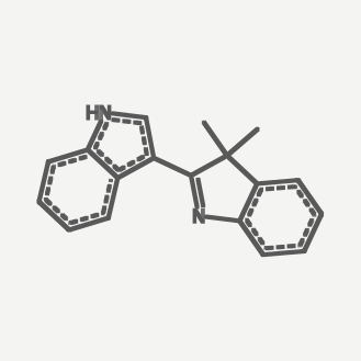 CC1(C)C(c2c[nH]c3ccccc23)=Nc2ccccc21